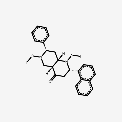 O=C1C[C@@H](c2cccc3ccccc23)N(SI)[C@H]2C[C@@H](c3ccccc3)N(SI)C[C@@H]12